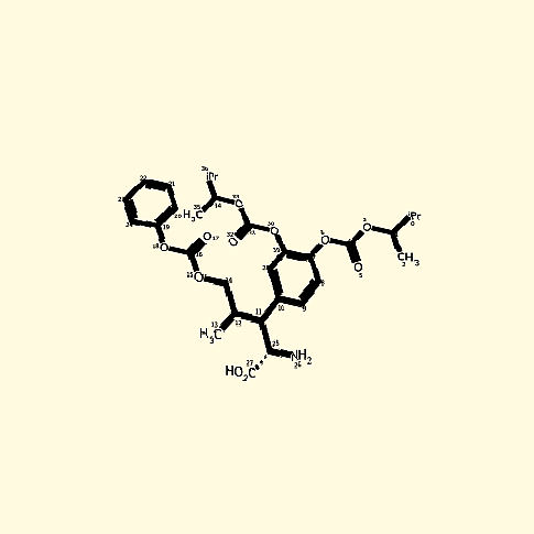 CC(C)C(C)OC(=O)Oc1ccc(C(C(C)COC(=O)Oc2ccccc2)[C@H](N)C(=O)O)cc1OC(=O)OC(C)C(C)C